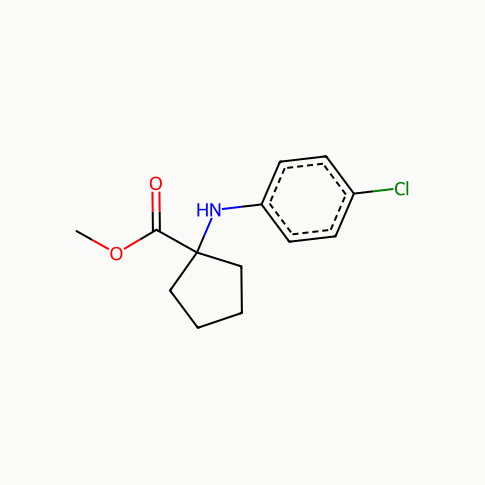 COC(=O)C1(Nc2ccc(Cl)cc2)CCCC1